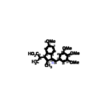 COc1ccc2c(c1)C(C(C)C(=O)O)=C(C)/C2=C/c1cc(OC)c(OC)c(OC)c1